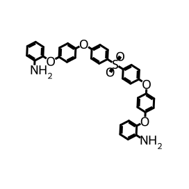 Nc1ccccc1Oc1ccc(Oc2ccc(S(=O)(=O)c3ccc(Oc4ccc(Oc5ccccc5N)cc4)cc3)cc2)cc1